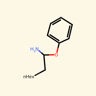 CCCCCCCC(N)Oc1ccccc1